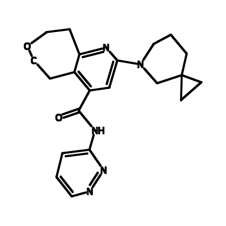 O=C(Nc1cccnn1)c1cc(N2CCCC3(CC3)C2)nc2c1CCOCC2